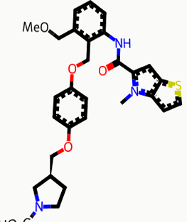 COCc1cccc(NC(=O)c2cc3sccc3n2C)c1COc1ccc(OC[C@H]2CCN(C(=O)O)C2)cc1